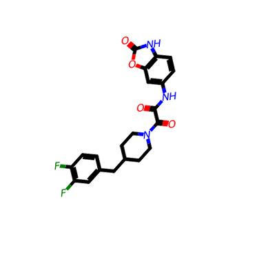 O=C(Nc1ccc2[nH]c(=O)oc2c1)C(=O)N1CCC(Cc2ccc(F)c(F)c2)CC1